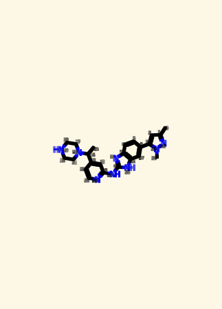 Cc1cc(-c2ccc3nc(Nc4cc(C(C)N5CCNCC5)ccn4)[nH]c3c2)n(C)n1